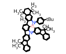 CC(C)(C)c1ccc(N2B3c4cc5c(cc4-n4c6cc7c(cc6c6ccc(c3c64)-c3cc4c(cc32)C(C)(C)CCC4(C)C)C(C)(C)c2ccccc2-7)-c2ccccc2C5(C)C)cc1